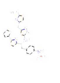 Cc1nc(Cc2nnc(N[C@@H](Cc3ccc(N[SH](=O)=O)cc3)c3csc(-c4cccs4)n3)s2)cs1